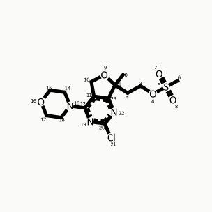 CC1(CCOS(C)(=O)=O)OCc2c(N3CCOCC3)nc(Cl)nc21